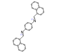 C(=N\c1ccc(/N=C/c2cccc3ccccc23)cc1)/c1cccc2ccccc12